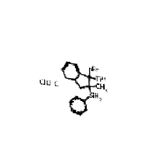 CCC[C]1([Ti+3])C2=CC=CCC2CC1(C)[SiH2]c1ccccc1.[Cl-].[Cl-].[Cl-]